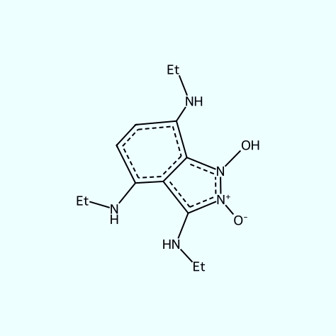 CCNc1ccc(NCC)c2c1c(NCC)[n+]([O-])n2O